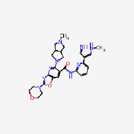 CN/C=C(\C=N)c1cccc(NC(=O)c2cc3oc(N4CCOCC4)nc3nc2N2CC3CN(C)CC3C2)n1